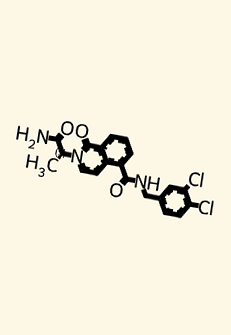 C[C@@H](C(N)=O)n1ccc2c(C(=O)NCc3ccc(Cl)c(Cl)c3)cccc2c1=O